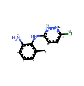 Cc1cccc(N)c1Nc1ccc(Cl)nn1